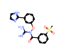 CS(=O)(=O)c1cccc(C(=O)N(Oc2cccc(-c3ncc[nH]3)c2)C(=N)N)c1